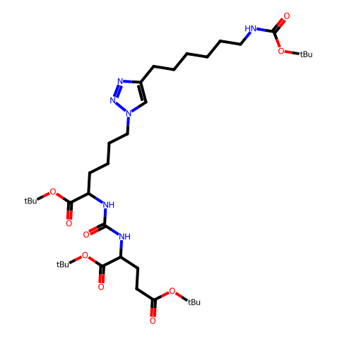 CC(C)(C)OC(=O)CCC(NC(=O)NC(CCCCn1cc(CCCCCCNC(=O)OC(C)(C)C)nn1)C(=O)OC(C)(C)C)C(=O)OC(C)(C)C